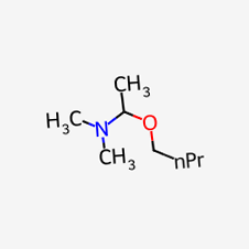 CCCCOC(C)N(C)C